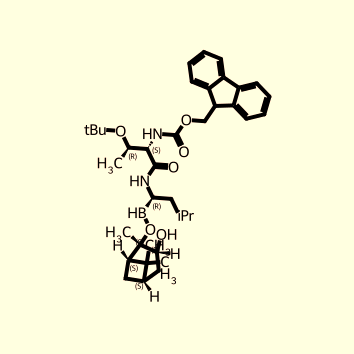 CC(C)C[C@@H](BO[C@]1(C)[C@H](O)C[C@@H]2C[C@H]1C2(C)C)NC(=O)[C@@H](NC(=O)OCC1c2ccccc2-c2ccccc21)[C@@H](C)OC(C)(C)C